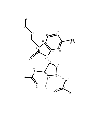 CCCCn1c(=O)n([C@@H]2O[C@H](OC(C)=O)[C@H](F)[C@H]2OC(C)=O)c2nc(N)ncc21